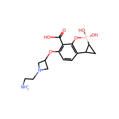 [NH3+]CCN1CC(Oc2ccc3c(c2C(=O)O)O[B-](O)(O)C2CC32)C1